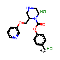 Cc1ccc(OC(=O)N2CCNCC2COc2cccnc2)cc1.Cl.Cl